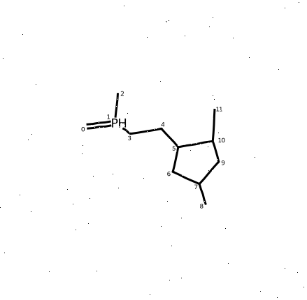 C=[PH](C)CCC1CC(C)CC1C